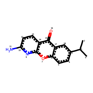 CC(C)c1ccc2oc3nc(N)ccc3c(=O)c2c1